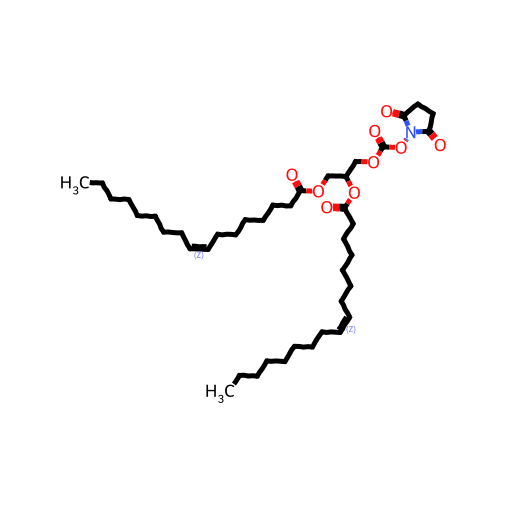 CCCCCCCC/C=C\CCCCCCC(=O)OCC(COC(=O)ON1C(=O)CCC1=O)OC(=O)CCCCCC/C=C\CCCCCCCC